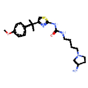 COc1ccc(C(C)(C)c2csc(NC(=O)NCCCCN3CCC(N)C3)n2)cc1